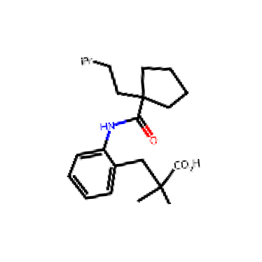 CC(C)CCC1(C(=O)Nc2ccccc2CC(C)(C)C(=O)O)CCCC1